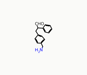 NCc1ccc(CC(C=O)c2ccccc2)cc1